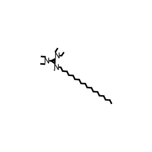 CCCCCCCCCCCCCCCCCCN(C)C1C(N(CC)CC)=C1N(CC)CC